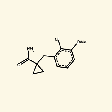 COc1cccc(CC2(C(N)=O)CC2)c1Cl